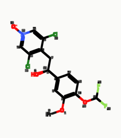 CC(C)Oc1cc([C@@H](O)Cc2c(Cl)c[n+]([O-])cc2Cl)ccc1OC(F)F